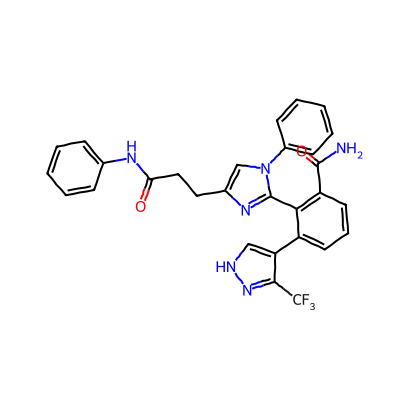 NC(=O)c1cccc(-c2c[nH]nc2C(F)(F)F)c1-c1nc(CCC(=O)Nc2ccccc2)cn1-c1ccccc1